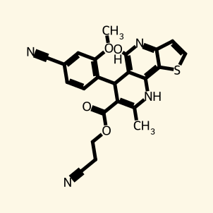 COc1cc(C#N)ccc1C1C(C(=O)OCCC#N)=C(C)Nc2c1c(O)nc1ccsc21